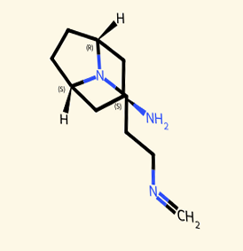 C=NCCCN1[C@@H]2CC[C@H]1C[C@H](N)C2